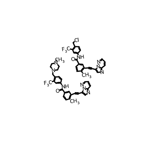 Cc1ccc(C(=O)Nc2ccc(CCl)c(C(F)(F)F)c2)cc1C#Cc1cnc2cccnn12.Cc1ccc(C(=O)Nc2ccc(CN3CCN(C)CC3)c(C(F)(F)F)c2)cc1C#Cc1cnc2cccnn12